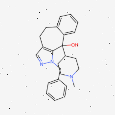 CN1CCC(C2(O)c3ccccc3CCc3cnn(Cc4ccccc4)c32)CC1